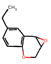 CCc1ccc2c(c1)C1OC1CO2